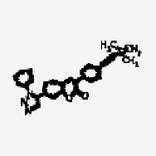 C[Si](C)(C)C#Cc1ccc(-c2cc3ccc(-c4cnnn4-c4ccccc4)cc3oc2=O)cc1